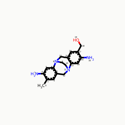 Cc1cc2c(cc1N)N1CCN(C2)c2cc(N)c(CO)cc2C1